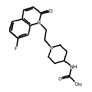 O=C(O)NC1CCN(CCn2c(=O)ccc3ccc(F)cc32)CC1